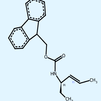 C/C=C/[C@@H](CC)NC(=O)OCC1c2ccccc2-c2ccccc21